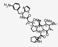 CC[C@H](C)C([C@@H](CC(=O)N1CCC[C@H]1[C@H](OC)[C@@H](C)C(=O)N[C@@H](Cc1cccc(N)c1)c1nccs1)OC)N(C)C(=O)[C@@H](NC(=O)[C@H]1NC2CCC1[C@@H]2C)C(C)C